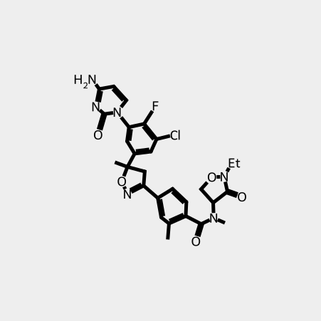 CCN1OCC(N(C)C(=O)c2ccc(C3=NOC(C)(c4cc(Cl)c(F)c(-n5ccc(N)nc5=O)c4)C3)cc2C)C1=O